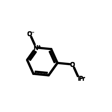 CC(C)Oc1ccc[n+]([O-])c1